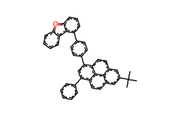 CC(C)(C)c1cc2ccc3c(-c4ccccc4)cc(-c4ccc(-c5cccc6oc7ccccc7c56)cc4)c4ccc(c1)c2c34